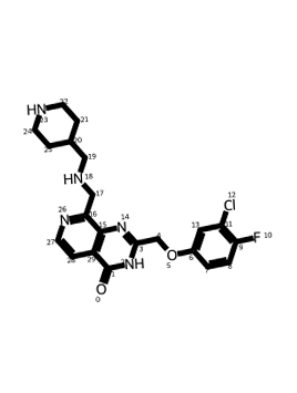 O=c1[nH]c(COc2ccc(F)c(Cl)c2)nc2c(CNCC3CCNCC3)nccc12